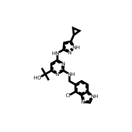 CC(C)(O)c1cc(Nc2cc(C3CC3)[nH]n2)nc(NCc2ccc3[nH]cnc3c2Cl)n1